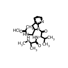 CNC(C)C(=O)N[C@H](C(=O)N1c2ncccc2CC1CNC(C)=O)C(C)C.Cl